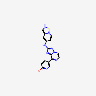 Oc1ccc(-c2nccn3nc(NC4=CC5=CNSN5C=C4)nc23)cn1